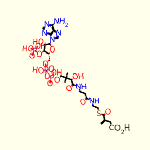 C=C(CC(=O)O)C(=O)SCCNC(=O)CCNC(=O)[C@H](O)C(C)(C)COP(=O)(O)OP(=O)(O)OC[C@H]1O[C@@H](n2cnc3c(N)ncnc32)[C@H](O)[C@@H]1OP(=O)(O)O